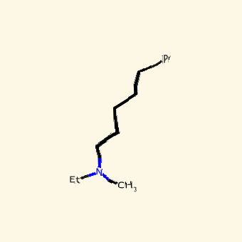 CCN(C)CCCCCC(C)C